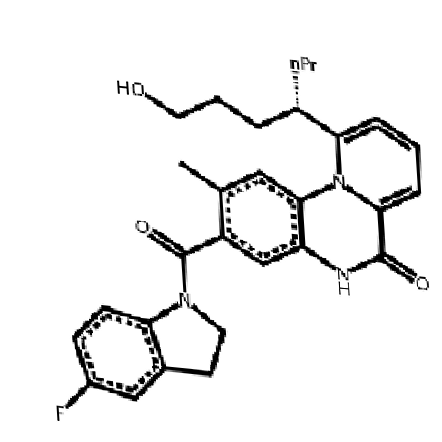 CCC[C@@H](CCCO)C1=C=CC=C2C(=O)Nc3cc(C(=O)N4CCc5cc(F)ccc54)c(C)cc3N12